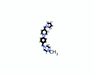 CN1CCN(Cc2ccc(N3CCC(CN4CCCC4)CC3)cc2)CC1